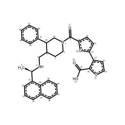 C[C@@H](NCC1CCN(C(=O)c2ccc(-c3ccsc3C(=O)O)o2)CC1c1ccccc1)c1cccc2ccccc12